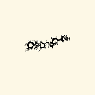 C[C@@H]1C[C@H](Cn2ccc3nc(-c4cn[nH]c4)ccc32)CN1S(=O)(=O)c1cccc(F)c1